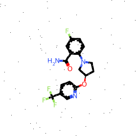 NC(=O)c1cc(F)ccc1N1CC[C@@H](Oc2ccc(C(F)(F)F)cn2)C1